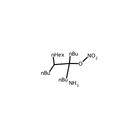 CCCCCCC(CCCC)C(CCCC)(CCCC)O[N+](=O)[O-].N